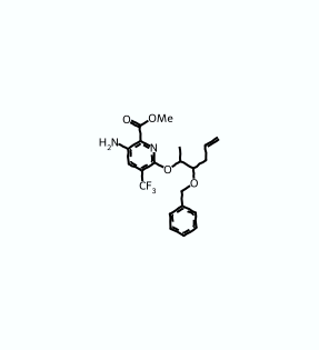 C=CCC(OCc1ccccc1)C(C)Oc1nc(C(=O)OC)c(N)cc1C(F)(F)F